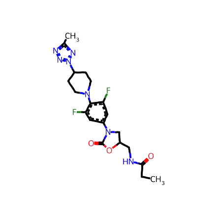 CCC(=O)NCC1CN(c2cc(F)c(N3CCC(n4nnc(C)n4)CC3)c(F)c2)C(=O)O1